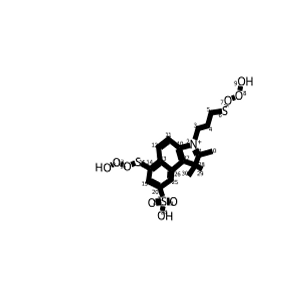 CC1=[N+](CCCSOOO)c2ccc3c(SOOO)cc(S(=O)(=O)O)cc3c2C1(C)C